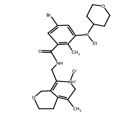 CCN(c1cc(Br)cc(C(=O)NCC2=C3COCCC3=C(C)C[NH+]2[O-])c1C)C1CCOCC1